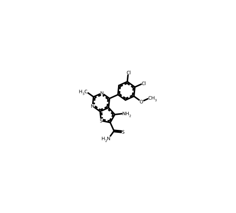 COc1cc(-c2nc(C)nc3sc(C(N)=S)c(N)c23)cc(Cl)c1Cl